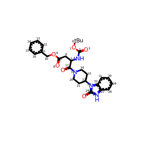 CC(C)(C)OC(=O)NC(CC(=O)OCc1ccccc1)C(=O)N1CCC(n2c(=O)[nH]c3ccccc32)CC1